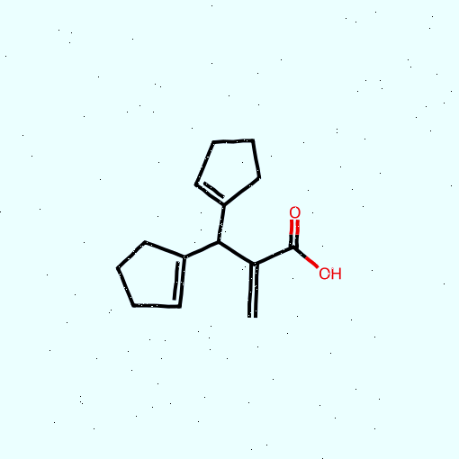 C=C(C(=O)O)C(C1=CCCC1)C1=CCCC1